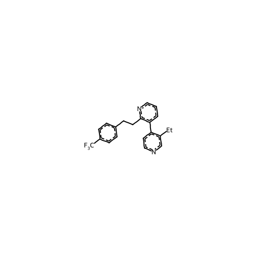 CCc1cnccc1-c1cccnc1CCc1ccc(C(F)(F)F)cc1